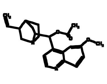 C=CC1CN2CCC1CC2C(OC(C)=O)c1ccnc2ccc(OC)cc12